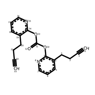 C#CCCc1cccnc1OC(=O)Oc1ncccc1CCC#C